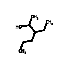 CCCC(CC)C(C)O